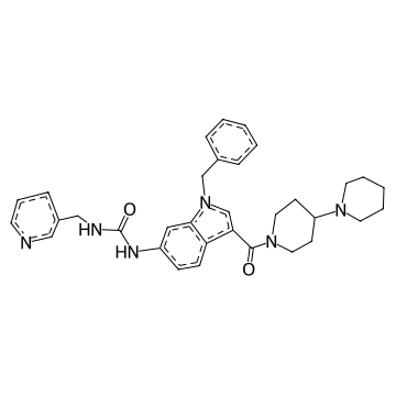 O=C(NCc1cccnc1)Nc1ccc2c(C(=O)N3CCC(N4CCCCC4)CC3)cn(Cc3ccccc3)c2c1